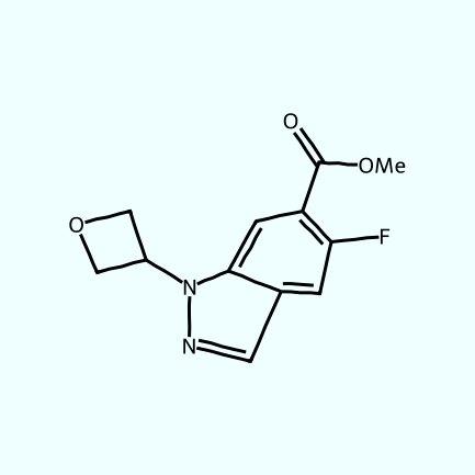 COC(=O)c1cc2c(cnn2C2COC2)cc1F